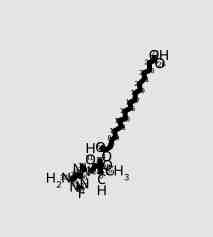 C#CC(COC(=O)CCCCCCCCCCCCCCCCCCC(=O)O)(OC)[C@@H](O)Cn1cnc2c(N)nc(F)nc21